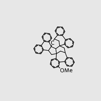 COc1cccc2c1-c1ccccc1C1CC34CC(CC56c7ccccc7-c7ccccc7C5CC2(C1)C36)c1ccccc1-c1ccccc14